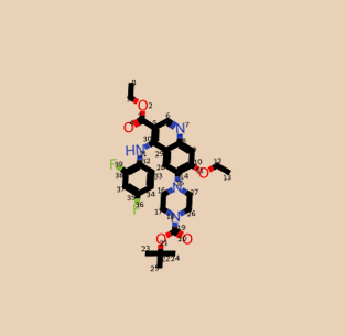 CCOC(=O)c1cnc2cc(OCC)c(N3CCN(C(=O)OC(C)(C)C)CC3)cc2c1Nc1ccc(F)cc1F